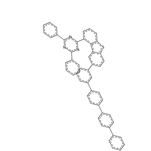 c1ccc(-c2ccc(-c3ccc(-c4cccc(-c5ccc6sc7cccc(-c8nc(-c9ccccc9)nc(-c9ccccc9)n8)c7c6c5)c4)cc3)cc2)cc1